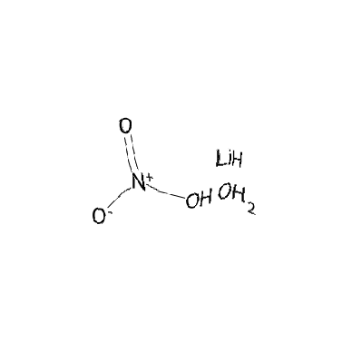 O.O=[N+]([O-])O.[LiH]